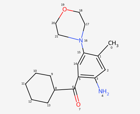 Cc1cc(N)c(C(=O)C2CCCCC2)cc1N1CCOCC1